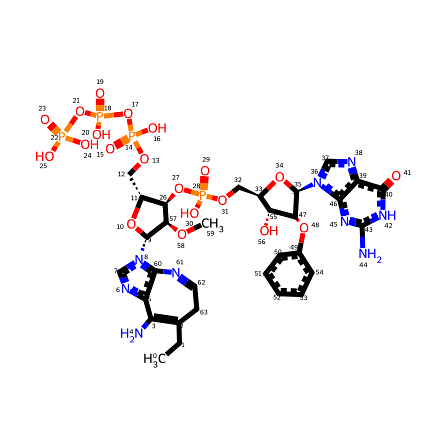 CCC1=C(N)c2ncn([C@@H]3O[C@H](COP(=O)(O)OP(=O)(O)OP(=O)(O)O)[C@@H](OP(=O)(O)OC[C@H]4O[C@@H](n5cnc6c(=O)[nH]c(N)nc65)[C@H](Oc5ccccc5)[C@@H]4O)[C@H]3OC)c2N=CC1